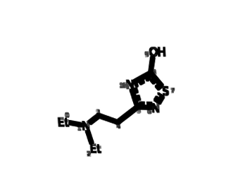 CCN(CC)CCc1nsc(O)n1